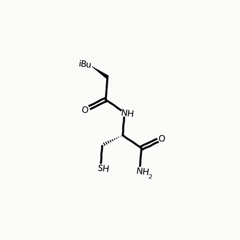 CC[C@H](C)CC(=O)N[C@@H](CS)C(N)=O